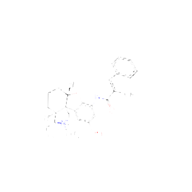 C[N+]1(C)CC[C@]23c4c5c(O)cc(NC(=O)C(=Cc6ccccc6)C(F)(F)F)c4O[C@H]2CCC[C@H]3[C@H]1C5